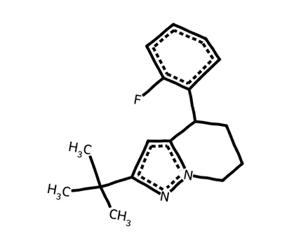 CC(C)(C)c1cc2n(n1)CCCC2c1ccccc1F